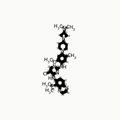 COc1cc(N2CCC(N3CC(N(C)C)C3)CC2)c(C)cc1Nc1ncc(Cl)c(Nc2ccc3nccnc3c2P(C)C)n1